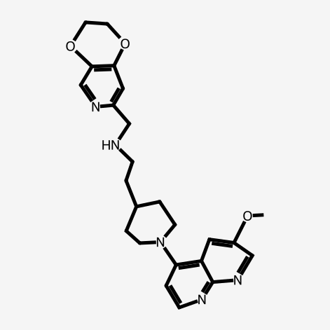 COc1cnc2nccc(N3CCC(CCNCc4cc5c(cn4)OCCO5)CC3)c2c1